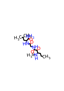 CCCC(NC)C(=O)C(=O)NCC(=O)NC(CC(C)C)C(N)=O